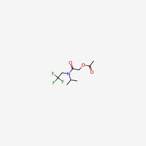 CC(=O)OCC(=O)N(CC(F)(F)F)C(C)C